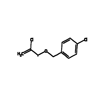 C=C(Cl)[CH]OCc1ccc(Cl)cc1